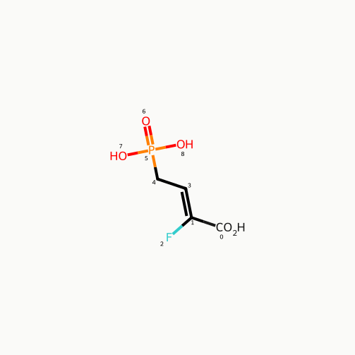 O=C(O)C(F)=CCP(=O)(O)O